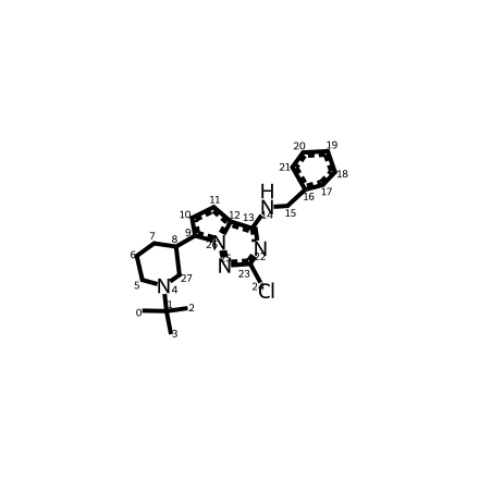 CC(C)(C)N1CCCC(c2ccc3c(NCc4ccccc4)nc(Cl)nn23)C1